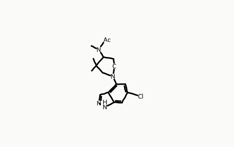 CC(=O)N(C)C1CCN(c2cc(Cl)cc3[nH]ncc23)CC1(C)C